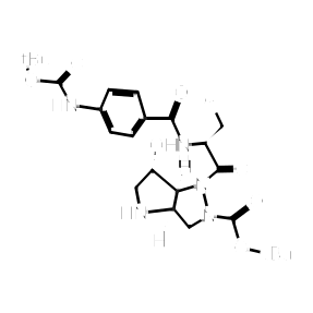 CC(C)C[C@H](NC(=O)c1ccc(NC(=O)OC(C)(C)C)cc1)C(=O)N1[C@@H]2[C@@H](O)CN[C@@H]2CN1C(=O)OC(C)(C)C